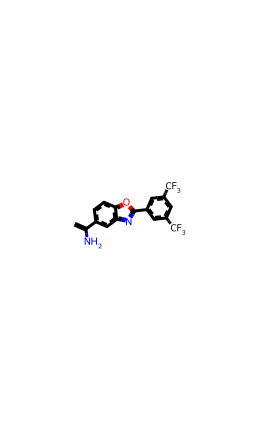 C=C(N)c1ccc2oc(-c3cc(C(F)(F)F)cc(C(F)(F)F)c3)nc2c1